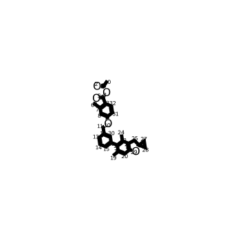 CC(=O)O[C@@H]1OCc2cc(OCc3cccc(-c4c(C)cc5c(c4C)CC4(CC4)O5)c3)ccc21